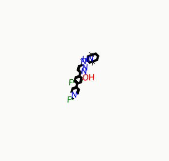 CN(c1ccc(-c2cc(F)c(C3=CCN(CF)C=C3)cc2O)nn1)C1C[C@]2(C)CCC[C@](C)(C1)N2